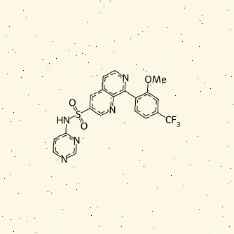 COc1cc(C(F)(F)F)ccc1-c1nccc2cc(S(=O)(=O)Nc3ccncn3)cnc12